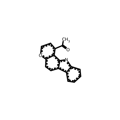 CC(=O)c1ccoc2ccc3c4ccccc4nc3c12